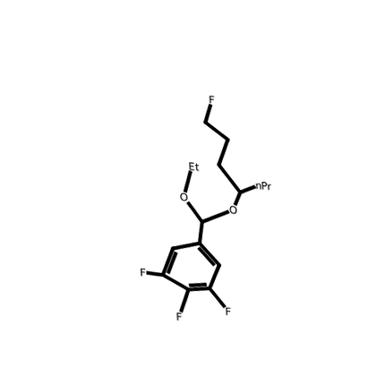 CCCC(CCCF)OC(OCC)c1cc(F)c(F)c(F)c1